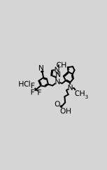 CCN(CCCCC(=O)O)c1cc2c(cc1CN(Cc1cc(C#N)cc(C(F)(F)F)c1)c1ccn(C)n1)CCC2.Cl